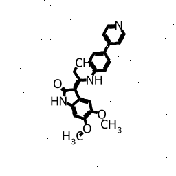 CCC(Nc1ccc(-c2ccncc2)cc1)=C1C(=O)Nc2cc(OC)c(OC)cc21